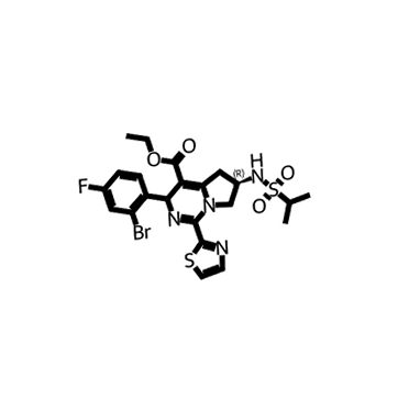 CCOC(=O)C1=C2C[C@@H](NS(=O)(=O)C(C)C)CN2C(c2nccs2)=NC1c1ccc(F)cc1Br